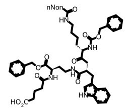 CCCCCCCCCC(=O)NCCCC[C@H](NC(=O)OCc1ccccc1)C(=O)C[C@H](Cc1c[nH]c2ccccc12)C(=O)NCC[C@@H](NC(=O)CCCC(=O)O)C(=O)OCc1ccccc1